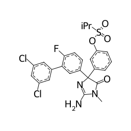 CC(C)S(=O)(=O)Oc1cccc(C2(c3ccc(F)c(-c4cc(Cl)cc(Cl)c4)c3)N=C(N)N(C)C2=O)c1